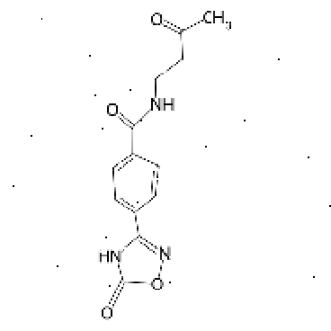 CC(=O)CCNC(=O)c1ccc(-c2noc(=O)[nH]2)cc1